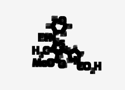 CCN(c1sc(C2CCN(C(=O)O)C2)c(C(=O)OC)c1C)C1CCOCC1